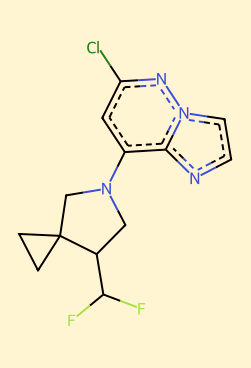 FC(F)C1CN(c2cc(Cl)nn3ccnc23)CC12CC2